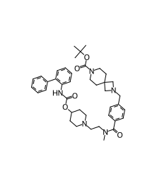 CN(CCN1CCC(OC(=O)Nc2ccccc2-c2ccccc2)CC1)C(=O)c1ccc(CN2CC3(CCN(C(=O)OC(C)(C)C)CC3)C2)cc1